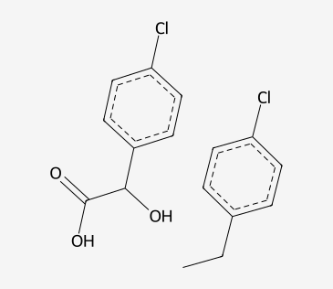 CCc1ccc(Cl)cc1.O=C(O)C(O)c1ccc(Cl)cc1